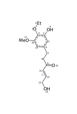 CCOc1c(O)cc(CCC(=O)/C=C/CO)cc1OC